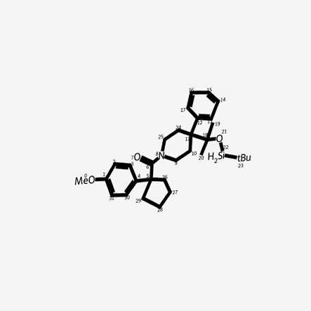 COc1ccc(C2(C(=O)N3CCC(c4ccccc4)(C(C)(C)O[SiH2]C(C)(C)C)CC3)CCCC2)cc1